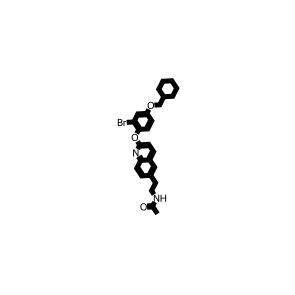 CC(=O)NCCc1ccc2nc(Oc3ccc(OCC4CCCCC4)cc3Br)ccc2c1